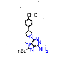 CCCCc1nc2c(N)nnc(N3CCC(c4ccc(C=O)cc4)C3)c2n1C